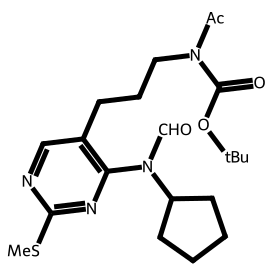 CSc1ncc(CCCN(C(C)=O)C(=O)OC(C)(C)C)c(N(C=O)C2CCCC2)n1